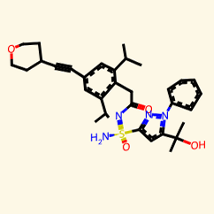 CC(C)c1cc(C#CC2CCOCC2)cc(C(C)C)c1CC(=O)N=[S@@](N)(=O)c1cc(C(C)(C)O)n(-c2ccccc2)n1